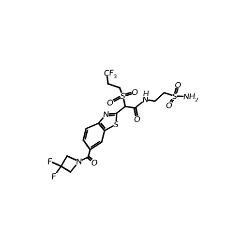 NS(=O)(=O)CCNC(=O)C(c1nc2ccc(C(=O)N3CC(F)(F)C3)cc2s1)S(=O)(=O)CCC(F)(F)F